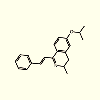 CC1Cc2cc(OC(C)C)ccc2C(/C=C/c2ccccc2)=N1